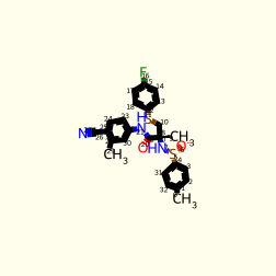 Cc1ccc([S+]([O-])N[C@@](C)(CSc2ccc(F)cc2)C(=O)Nc2ccc(C#N)c(C)c2)cc1